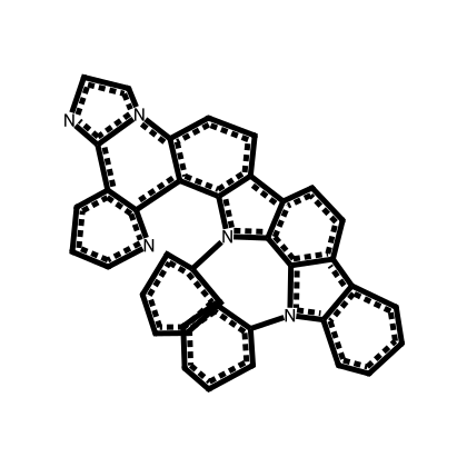 c1ccc(-n2c3ccccc3c3ccc4c5ccc6c(c7ncccc7c7nccn67)c5n(-c5ccccc5)c4c32)cc1